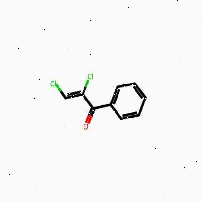 O=C(C(Cl)=CCl)c1ccccc1